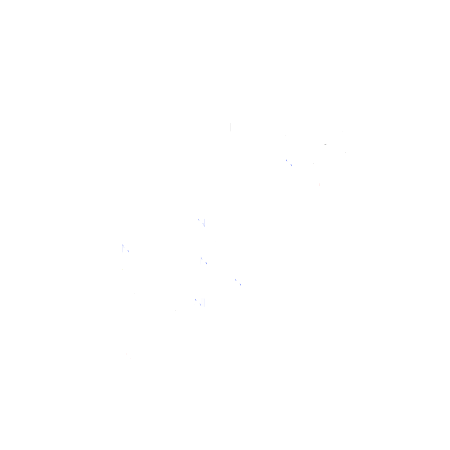 CN1CCCNc2nc(ncc2-c2ccc(NC(=O)C3(c4cccc(C(F)(F)F)c4)CC3)cc2)Nc2cc(O)cc(c2)S1